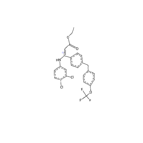 CCOC(=O)/C=C(/Nc1ccc(Cl)c(Cl)c1)c1ccc(Cc2ccc(OC(F)(F)F)cc2)cc1